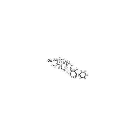 CO/C(=C1/CC[C@H]2[C@@H]3CCC4=CC(=O)CC[C@]4(C)C3=CC[C@]12C)C(Cl)[S+]([O-])c1ccccc1